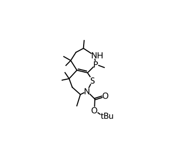 CC1CC(C)(C)C2=C(SN(C(=O)OC(C)(C)C)C(C)CC2(C)C)P(C)N1